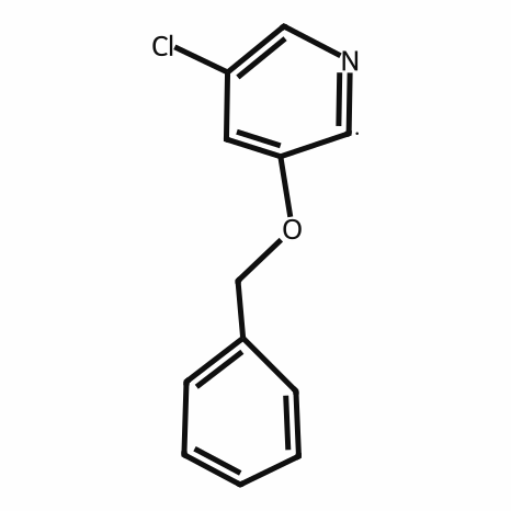 Clc1cn[c]c(OCc2ccccc2)c1